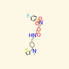 CN(C)C(c1cccs1)C1CCC(CCNC(=O)COCCN(C)S(=O)(=O)c2ccc(F)cc2)CC1